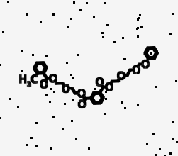 Cc1ccccc1C(=O)OCCOCCOC(=O)c1cccc(C(=O)OCCOCCOCOc2ccccc2)c1